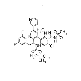 Cn1nc(NS(C)(=O)=O)c2c(Cl)ccc(-c3cc(-c4cccnc4)cnc3[C@H](Cc3cc(F)cc(F)c3)NC(=O)OC(C)(C)C)c21